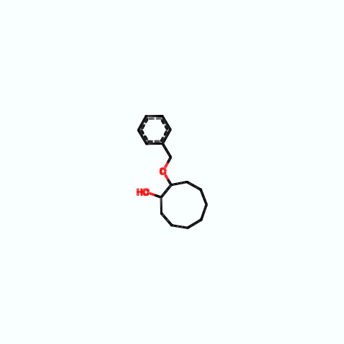 OC1CCCCCCCC1OCc1ccccc1